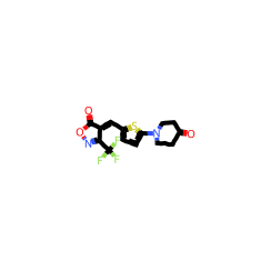 O=C1CCN(c2ccc(C=C3C(=O)ON=C3C(F)(F)F)s2)CC1